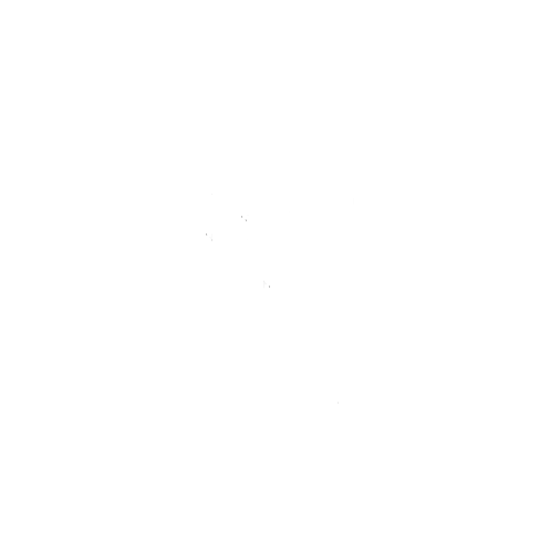 CCCCCn1c(-c2ccccc2)nc(-c2ccccc2)c1CN(CCCC)Cc1cccc(OC)c1